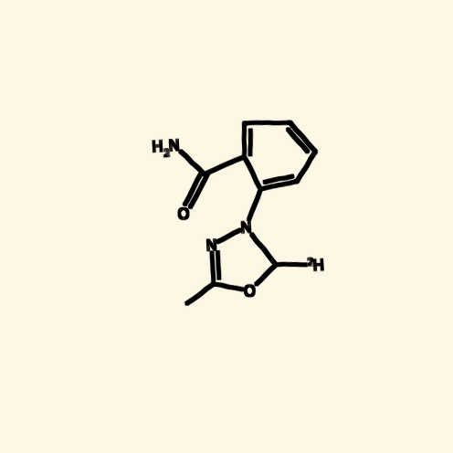 [2H]C1OC(C)=NN1c1ccccc1C(N)=O